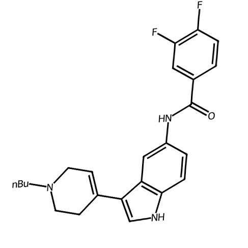 CCCCN1CC=C(c2c[nH]c3ccc(NC(=O)c4ccc(F)c(F)c4)cc23)CC1